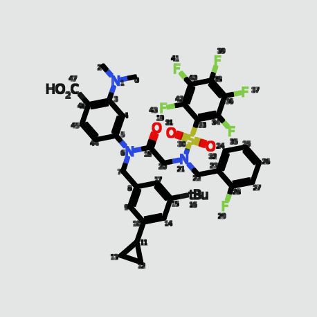 CN(C)c1cc(N(Cc2cc(C3CC3)cc(C(C)(C)C)c2)C(=O)CN(Cc2ccccc2F)S(=O)(=O)c2c(F)c(F)c(F)c(F)c2F)ccc1C(=O)O